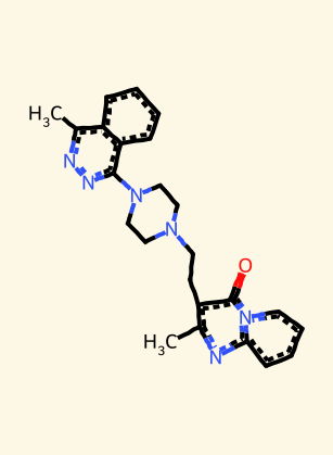 Cc1nc2ccccn2c(=O)c1CCN1CCN(c2nnc(C)c3ccccc23)CC1